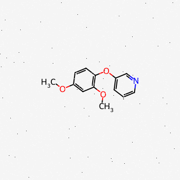 COc1ccc(Oc2c[c]cnc2)c(OC)c1